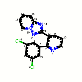 Clc1cc(Cl)cc(-c2ncccc2-c2nc3ccccn3n2)c1